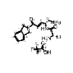 CC[C@H](N)C(=O)N[C@H](C=CC(=O)N1Cc2ccccc2C1)CC(C)(C)C.O=C(O)C(F)(F)F